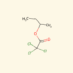 CCC(C)OC(=O)C(Cl)(Cl)Cl